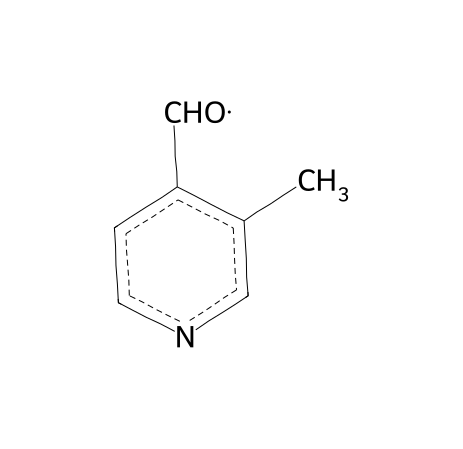 Cc1cnccc1[C]=O